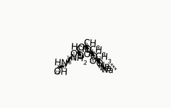 CC(=O)O.CC(=O)[O-].CC(=O)[O-].CC(=O)[O-].NCCNCCO.[Na+].[Na+].[Na+]